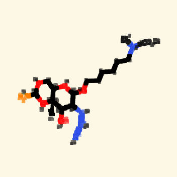 CCOC(=O)N(CC)CCCCCCOC1OC2COC(P)O[C@@H]2C(O)C1N=[N+]=[N-]